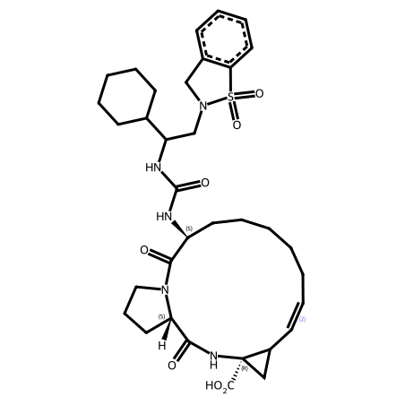 O=C(NC(CN1Cc2ccccc2S1(=O)=O)C1CCCCC1)N[C@H]1CCCCC/C=C\C2C[C@@]2(C(=O)O)NC(=O)[C@@H]2CCCN2C1=O